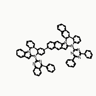 c1ccc(-c2nc(-c3ccccc3)nc(N3c4ccccc4-c4cc5ccccc5cc4-n4c3cc3cc5cc(-c6ccc7c(c6)-c6ccccc6-n6c(cc8ccccc86)N7c6nc(-c7ccccc7)c7ccccc7n6)ccc5cc34)n2)cc1